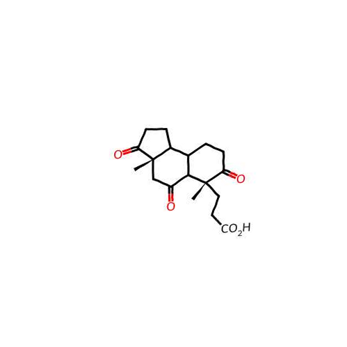 C[C@]1(CCC(=O)O)C(=O)CCC2C1C(=O)C[C@]1(C)C(=O)CCC21